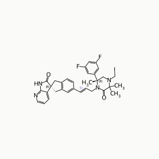 CC1(C)C(=O)N(C/C=C/c2ccc3c(c2)C[C@@]2(C3)C(=O)Nc3ncccc32)[C@](C)(c2cc(F)cc(F)c2)CN1CI